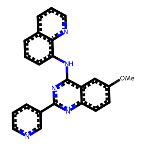 COc1ccc2nc(-c3cccnc3)nc(Nc3cccc4cccnc34)c2c1